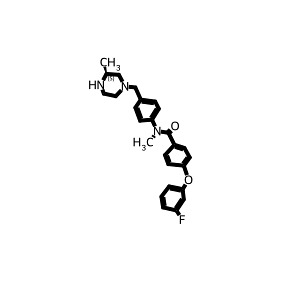 C[C@H]1CN(Cc2ccc(N(C)C(=O)c3ccc(Oc4cccc(F)c4)cc3)cc2)CCN1